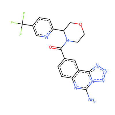 Nc1nc2ccc(C(=O)N3CCOCC3c3ccc(C(F)(F)F)cn3)cc2c2nnnn12